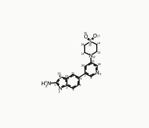 Nc1nc2ccc(-c3cncc(N4CCS(=O)(=O)CC4)c3)cc2s1